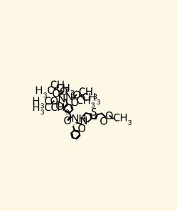 CCOC(=O)Cc1cc2c(s1)CCN(C(=O)[C@H](Cc1ccccc1)NC(=O)c1ccc(C(=NC(=O)OC(C)(C)C)N(C(=O)OC(C)(C)C)C(=O)OC(C)(C)C)cc1)C2